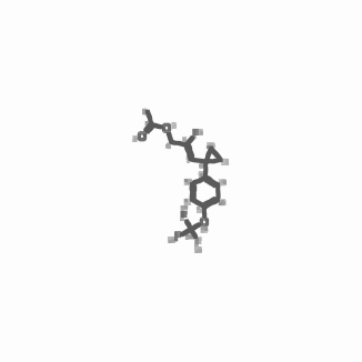 CC(=O)OCC(F)=CC1(c2ccc(OC(F)(F)F)cc2)CC1